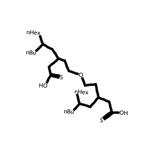 CCCCCCC(CCCC)CC(CCOCCC(CC(O)=S)CC(CCCC)CCCCCC)CC(O)=S